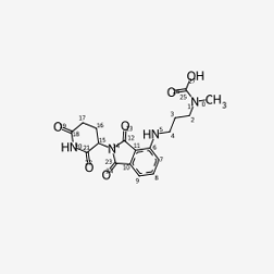 CN(CCCNc1cccc2c1C(=O)N(C1CCC(=O)NC1=O)C2=O)C(=O)O